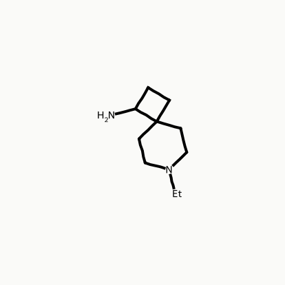 CCN1CCC2(CCC2N)CC1